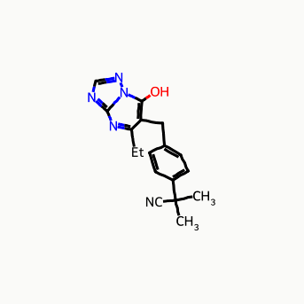 CCc1nc2ncnn2c(O)c1Cc1ccc(C(C)(C)C#N)cc1